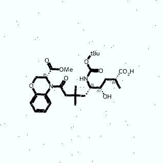 COC(=O)[C@H]1COc2ccccc2N1C(=O)CC(C)(C)C[C@H](NC(=O)OC(C)(C)C)[C@@H](O)C[C@@H](C)C(=O)O